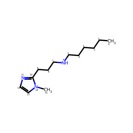 CCCCCCNCCCc1nccn1C